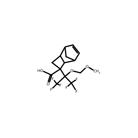 COCOC(C(F)(F)F)(C(F)(F)F)C1(C(=O)O)CC2C3C=CC(C3)C21